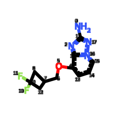 Nc1nc2c(OCC3CC(F)(F)C3)cccn2n1